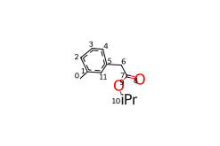 Cc1cccc(CC(=O)OC(C)C)c1